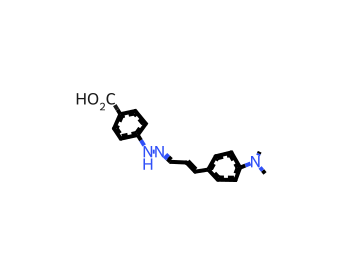 CN(C)c1ccc(/C=C/C=N/Nc2ccc(C(=O)O)cc2)cc1